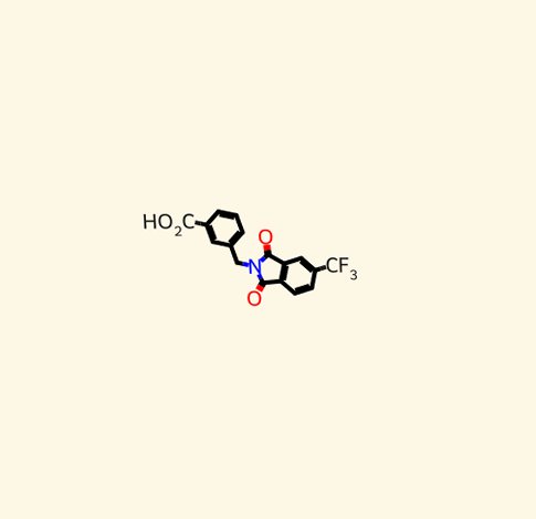 O=C(O)c1cccc(CN2C(=O)c3ccc(C(F)(F)F)cc3C2=O)c1